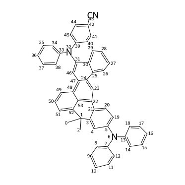 CC1(C)c2cc(N(c3ccccc3)c3ccccc3)ccc2-c2cc3c4ccccc4c(N(c4ccccc4)c4ccc(C#N)cc4)cc3c3cccc1c23